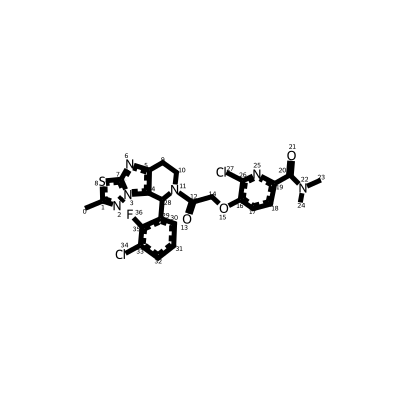 Cc1nn2c3c(nc2s1)CCN(C(=O)COc1ccc(C(=O)N(C)C)nc1Cl)C3c1cccc(Cl)c1F